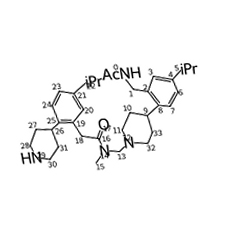 CC(=O)NCc1cc(C(C)C)ccc1C1CCN(CN(C)C(=O)Cc2cc(C(C)C)ccc2C2CCNCC2)CC1